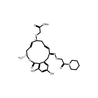 COC(=O)CO[C@@H]1/C=C/C[C@@H](C)OC(=O)c2c(O)cc(O)cc2CC(=NOCC(=O)N2CCCCC2)/C=C/C1